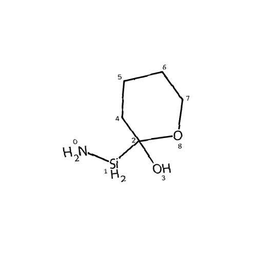 N[SiH2]C1(O)CCCCO1